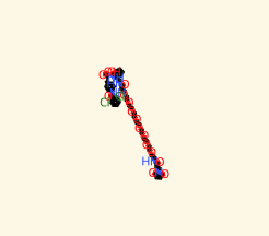 O=C(CCOCCOCCOCCOCCOCCOCCOCCOCCNC(=O)CCN1C(=O)C=CC1=O)NCCC1(C(=O)N[C@@H](Cc2ccc(NC(=O)c3c(Cl)cccc3Cl)cc2)C(=O)O)CCCC1